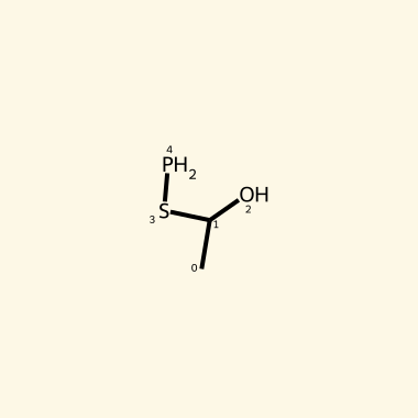 CC(O)SP